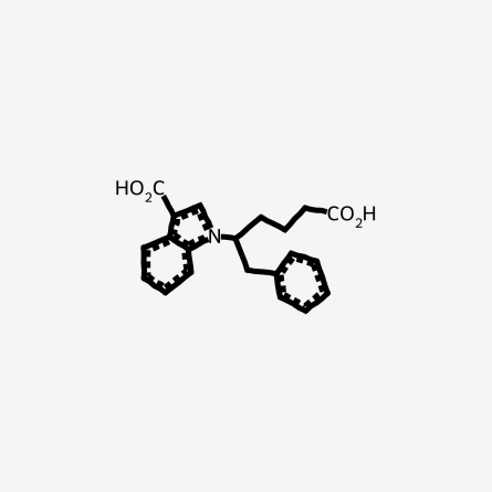 O=C(O)CCCC(Cc1ccccc1)n1cc(C(=O)O)c2ccccc21